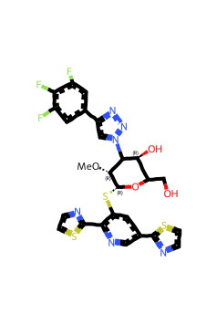 CO[C@@H]1C(n2cc(-c3cc(F)c(F)c(F)c3)nn2)[C@@H](O)C(CO)O[C@@H]1Sc1cc(-c2nccs2)cnc1-c1nccs1